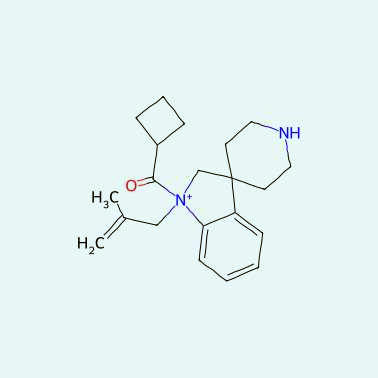 C=C(C)C[N+]1(C(=O)C2CCC2)CC2(CCNCC2)c2ccccc21